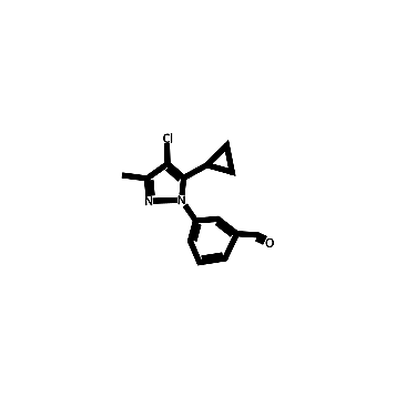 Cc1nn(-c2cccc(C=O)c2)c(C2CC2)c1Cl